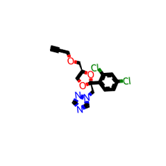 C#CCOC[C@@H]1CO[C@@](Cn2cncn2)(c2ccc(Cl)cc2Cl)O1